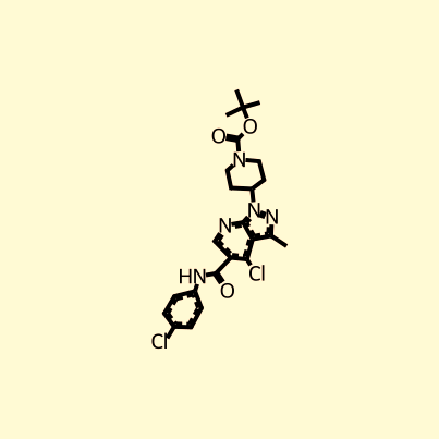 Cc1nn(C2CCN(C(=O)OC(C)(C)C)CC2)c2ncc(C(=O)Nc3ccc(Cl)cc3)c(Cl)c12